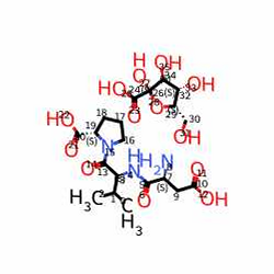 CC(C)[C@H](NC(=O)[C@@H](N)CC(=O)O)C(=O)N1CCC[C@H]1C(=O)O.O=C(O)[C@@]1(O)O[C@@H](CO)[C@@H](O)[C@@H]1O